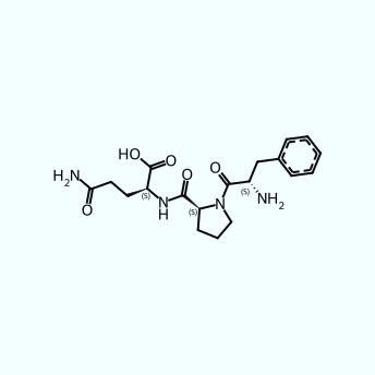 NC(=O)CC[C@H](NC(=O)[C@@H]1CCCN1C(=O)[C@@H](N)Cc1ccccc1)C(=O)O